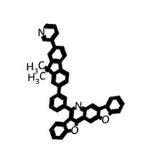 CC1(C)c2cc(-c3cccnc3)ccc2-c2ccc(-c3cccc(-c4nc5cc6c(cc5c5oc7ccccc7c45)oc4ccccc46)c3)cc21